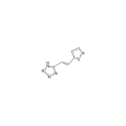 C(=Cc1ccns1)c1nnn[nH]1